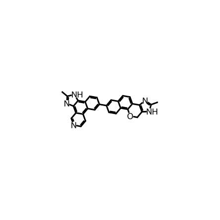 Cc1nc2c([nH]1)COc1c-2ccc2cc(-c3ccc4c(c3)c3ccncc3c3nc(C)[nH]c43)ccc12